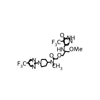 COCC(COCC(=O)N(C)C1CCN(c2ncc(C(F)(F)F)cn2)CC1)Nc1cn[nH]c(=O)c1C(F)(F)F